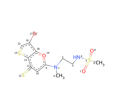 CN(CCNS(C)(=O)=O)c1cc(=S)c2scc(Br)c2o1